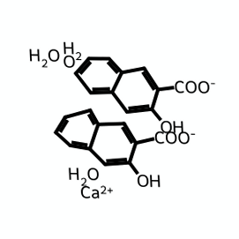 O.O.O.O=C([O-])c1cc2ccccc2cc1O.O=C([O-])c1cc2ccccc2cc1O.[Ca+2]